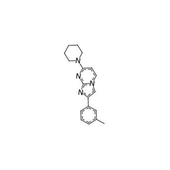 Cc1cccc(-c2cn3ccc(N4CCCCC4)nc3n2)c1